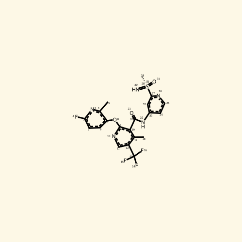 Cc1nc(F)ccc1Oc1ncc(C(F)(F)F)c(C)c1C(=O)Nc1ccnc([S@@](C)(=N)=O)c1